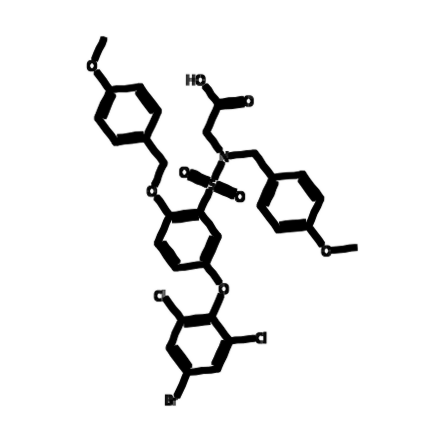 COc1ccc(COc2ccc(Oc3c(Cl)cc(Br)cc3Cl)cc2S(=O)(=O)N(CC(=O)O)Cc2ccc(OC)cc2)cc1